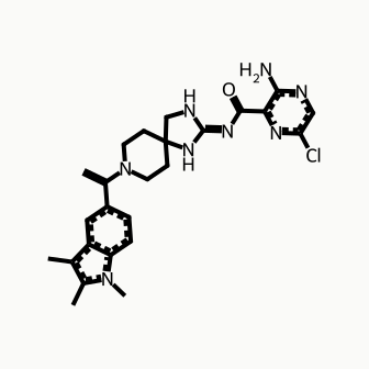 C=C(c1ccc2c(c1)c(C)c(C)n2C)N1CCC2(CC1)CN/C(=N\C(=O)c1nc(Cl)cnc1N)N2